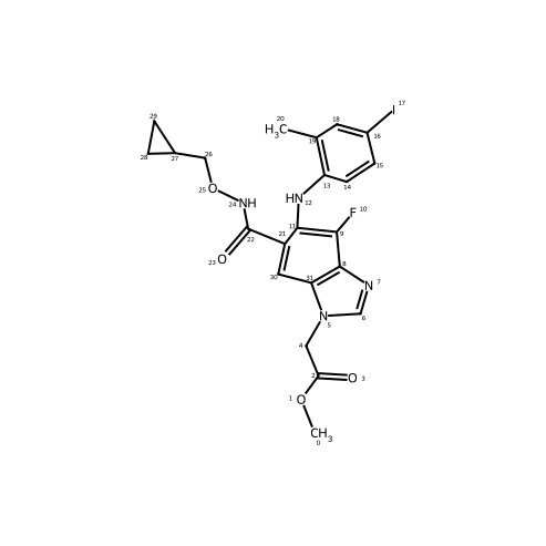 COC(=O)Cn1cnc2c(F)c(Nc3ccc(I)cc3C)c(C(=O)NOCC3CC3)cc21